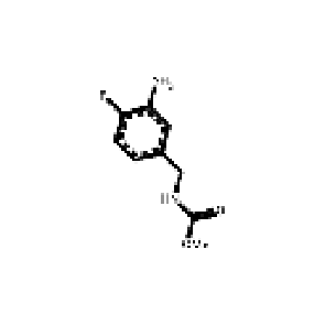 COC(=O)NCc1ccc(F)c(N)c1